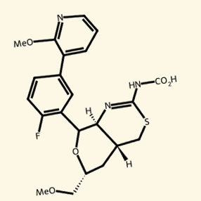 COC[C@H]1C[C@H]2CSC(NC(=O)O)=N[C@@H]2C(c2cc(-c3cccnc3OC)ccc2F)O1